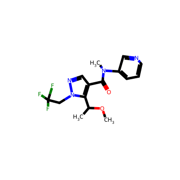 COC(C)c1c(C(=O)N(C)c2cccnc2)cnn1CC(F)(F)F